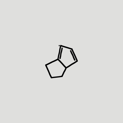 [C]1=C2CCCC2C=C1